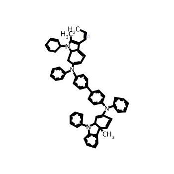 C/C=C\C1=C(C)N(C2C=CC=CC2)C2CC(N(c3ccccc3)c3ccc(-c4ccc(N(C5=CC6N(c7ccccc7)c7ccccc7C6(C)C=C5)c5ccccc5)cc4)cc3)=CC=C12